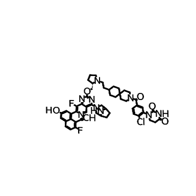 C#Cc1c(F)ccc2cc(O)cc(-c3ncc4c(N5CC6CCC(C5)N6)nc(OC[C@@H]5CCCN5CCC5CCC6(CC5)CCN(C(=O)c5ccc(Cl)c(N7CCC(=O)NC7=O)c5)CC6)nc4c3F)c12